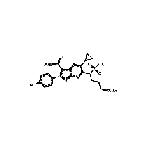 CCOC(=O)CCCN(c1cc2nn(-c3ccc(Br)cc3)c(C(=O)NC)c2cc1C1CC1)S(C)(=O)=O